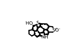 [O-][S+]1Cc2cc3[nH]c4cc5c6c(c(O)c7sc8cc(c2c2c3c4c6c7c82)C1)CCC5